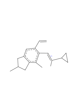 C=Cc1cc2c(c(C)c1/C=C(\C)C1CC1)CC(C)C2